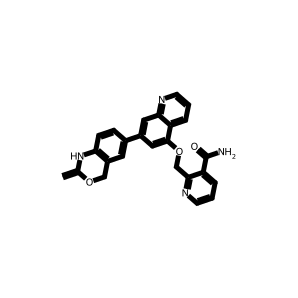 C=C1Nc2ccc(-c3cc(OCc4ncccc4C(N)=O)c4cccnc4c3)cc2CO1